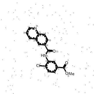 COC(=O)c1ccc(Cl)c(NC(=O)c2ccc3ncccc3c2)c1